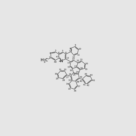 Cc1ccc2cc(-c3ccccc3)c(-c3cc4c5c(cccc5c3)-c3c-4c(-c4ccccc4)c4ccccc4c3-c3ccccc3)nc2c1